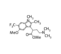 COC(=O)C(CCN(C)C)c1c(C)n(C)c2cc(C(F)(F)F)c(OC)cc12